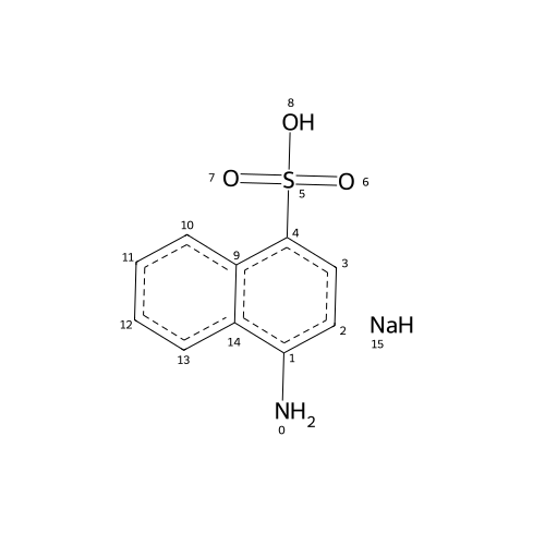 Nc1ccc(S(=O)(=O)O)c2ccccc12.[NaH]